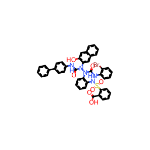 O=C(O)c1ccccc1S(=O)(=O)Nc1ccccc1N(C(=O)Nc1ccccc1Br)N(C(=O)Nc1ccc(-c2ccccc2)cc1)c1cc2ccccc2cc1O